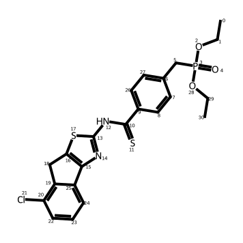 CCOP(=O)(Cc1ccc(C(=S)Nc2nc3c(s2)Cc2c(Cl)cccc2-3)cc1)OCC